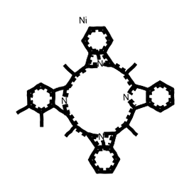 Cc1ccc2c(c1C)-c1nc-2c(C)c2c3ccccc3c(c(C)c3nc(c(C)c4c5ccccc5c(c1C)n4C)-c1ccccc1-3)n2C.[Ni]